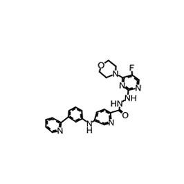 O=C(NNc1ncc(F)c(N2CCOCC2)n1)c1ccc(Nc2cccc(-c3ccccn3)c2)cn1